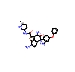 Cc1cc(Oc2ccccc2)ccc1C1(N)C(=O)C(N)c2c(C(=O)NC3CC[C@@H](C)NC3)sc3c(N)ccc1c23